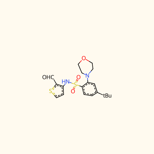 CC(C)(C)c1ccc(S(=O)(=O)Nc2ccsc2C=O)c(N2CCOCC2)c1